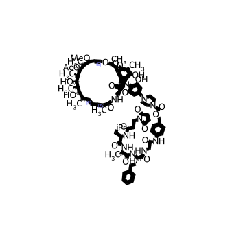 CO[C@H]1/C=C/O[C@@]2(C)Oc3c(C)c(O)c4c(=O)c(c5oc6cc(N7CCN(C(=O)OCc8ccc(NC(=O)CNC(=O)[C@H](CCc9ccccc9)NC(=O)[C@H](C)NC(=O)C(CC(C)C)NC(=O)CCN9C(=O)C=CC9=O)cc8)CC7)cc(O)c6nc-5c4c3C2=O)NC(=O)/C(C)=C\C=C\[C@H](C)[C@H](O)[C@@H](C)[C@@H](O)[C@@H](C)[C@H](OC(C)=O)[C@@H]1C